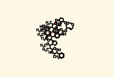 CC[C@H](C)[C@@H]([C@@H](CC(=O)N1CCC[C@H]1[C@H](OC)[C@@H](C)C(=O)N[C@H](C)[C@@H](O)c1ccccc1)OC)N(C)C(=O)[C@@H](NC(=O)[C@H](C(C)C)N(C)C(=O)OCc1ccc(NC(=O)OC2/C=C/COCOC2)c(NCC(=O)ON2C(=O)CCC2=O)c1)C(C)C